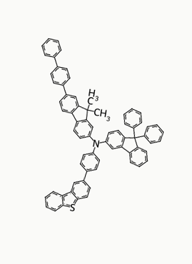 CC1(C)c2cc(-c3ccc(-c4ccccc4)cc3)ccc2-c2ccc(N(c3ccc(-c4ccc5sc6ccccc6c5c4)cc3)c3ccc4c(c3)-c3ccccc3C4(c3ccccc3)c3ccccc3)cc21